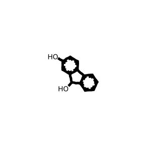 Oc1ccc2c(c1)C(O)c1ccccc1-2